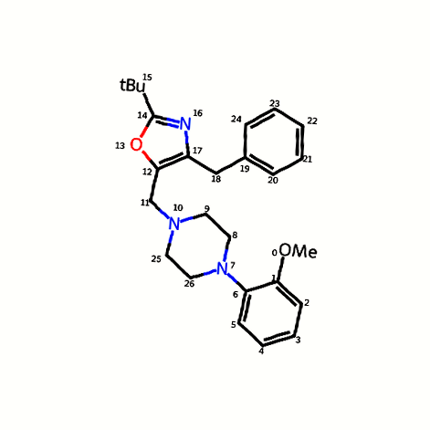 COc1ccccc1N1CCN(Cc2oc(C(C)(C)C)nc2Cc2ccccc2)CC1